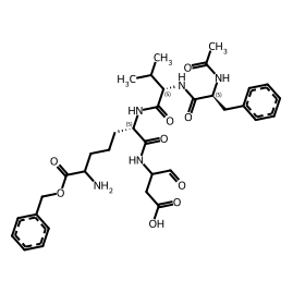 CC(=O)N[C@@H](Cc1ccccc1)C(=O)N[C@H](C(=O)N[C@@H](CCCC(N)C(=O)OCc1ccccc1)C(=O)NC(C=O)CC(=O)O)C(C)C